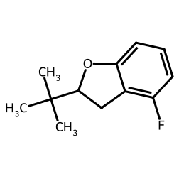 CC(C)(C)C1Cc2c(F)cccc2O1